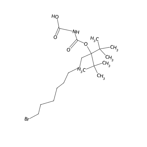 CC(C)(C)C(CCCCCCCCBr)(OC(=O)NC(=O)O)C(C)(C)C